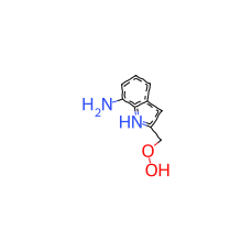 Nc1cccc2cc(COO)[nH]c12